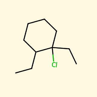 CCC1CCCCC1(Cl)CC